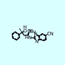 CC(C)(C)n1c(NC(=O)C[C@@](C)(O)c2ccccc2)nc2ccc(C#N)cc21